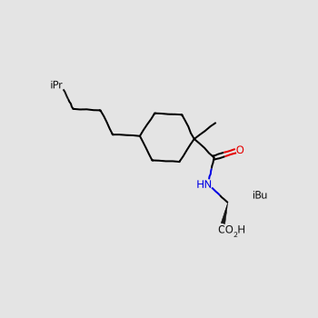 CC[C@H](C)[C@H](NC(=O)C1(C)CCC(CCCC(C)C)CC1)C(=O)O